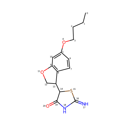 CCCCOc1ccc2c(c1)OCC2C1SC(=N)NC1=O